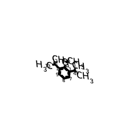 COc1c(C(C)C)cccc1C(C)C